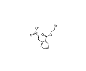 O=C(OCCBr)c1ccccc1CC[N+](=O)[O-]